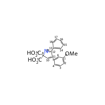 COc1ccccc1.O=C(O)C1(C(=O)O)C=CC(c2ccccc2)=N1